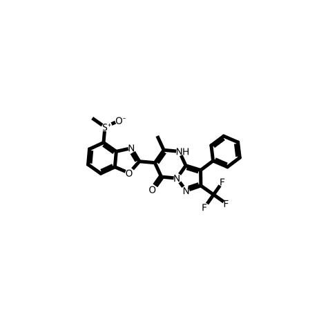 Cc1[nH]c2c(-c3ccccc3)c(C(F)(F)F)nn2c(=O)c1-c1nc2c([S+](C)[O-])cccc2o1